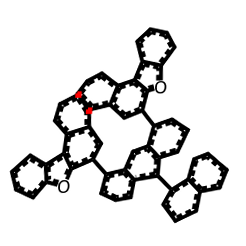 c1ccc2c(-c3c4cccc(-c5cc6ccccc6c6c5oc5ccccc56)c4cc4c(-c5cc6ccccc6c6c5oc5ccccc56)cccc34)cccc2c1